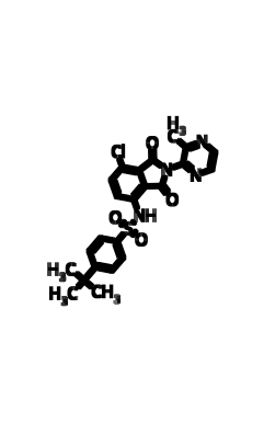 Cc1nccnc1N1C(=O)c2c(Cl)ccc(NS(=O)(=O)c3ccc(C(C)(C)C)cc3)c2C1=O